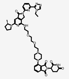 CCn1cnnc1-c1cccc(N2Cc3c(cc(N4CCC[C@H]4C)nc3NCCOCCOCCN3CCN(c4cccc5c4C(=O)N(C4CCC(=O)NC4=O)C5=O)CC3)C2=O)n1